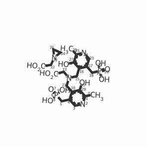 Cc1ncc(CP(=O)(O)O)c(CN(CC(=O)O)Cc2c(CP(=O)(O)O)cnc(C)c2O)c1O.O=C(O)CN1CC1